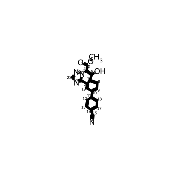 COC(=O)c1c(O)c2ccc(-c3ccc(C#N)cc3)cc2c2ncnn12